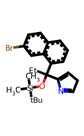 CCC(O[Si](C)(C)C(C)(C)C)(C1=CCC=N1)c1cccc2ccc(Br)cc12